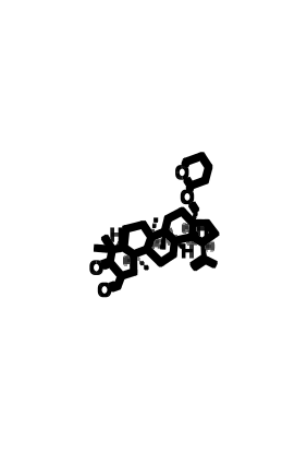 C=C(C)[C@@H]1CC[C@]2(COC3CCCCO3)CC[C@]3(C)[C@H](CCC4[C@@]5(C)CC(C=O)C(=O)C(C)(C)[C@@H]5CC[C@]43C)[C@@H]12